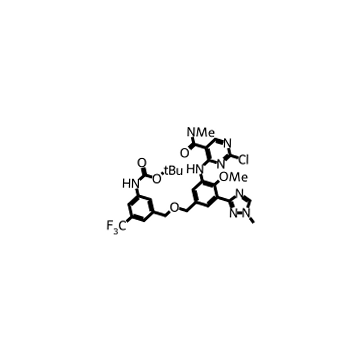 CNC(=O)c1cnc(Cl)nc1Nc1cc(COCc2cc(NC(=O)OC(C)(C)C)cc(C(F)(F)F)c2)cc(-c2ncn(C)n2)c1OC